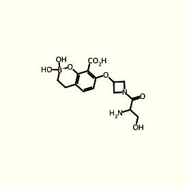 NC(CO)C(=O)N1CC(Oc2ccc3c(c2C(=O)O)O[B-](O)(O)CC3)C1